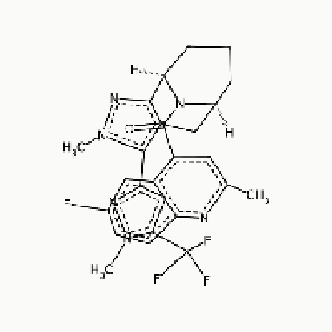 Cc1cc(C(=O)N2[C@H]3CCC[C@@H]2c2nn(C)c(-c4cc(C(F)(F)F)n(C)n4)c2C3)c2cc(F)ccc2n1